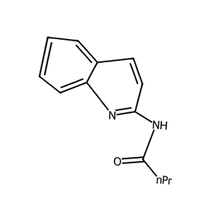 CCCC(=O)Nc1ccc2ccccc2n1